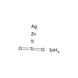 [Ag].[O]=[Ti]=[O].[SnH4].[Ti].[Zn]